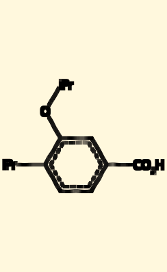 CC(C)Oc1cc(C(=O)O)ccc1C(C)C